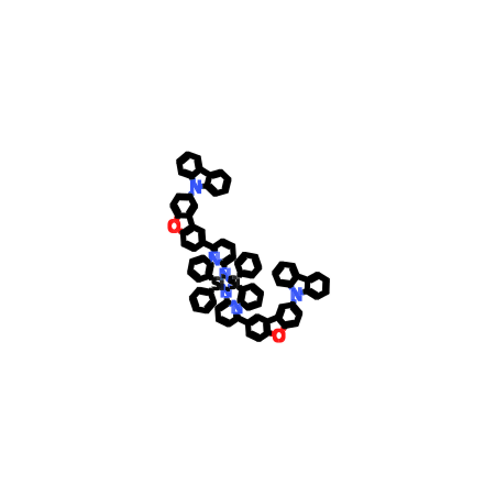 c1ccc([Si]2(c3ccccc3)N(c3cccc(-c4ccc5oc6ccc(-n7c8ccccc8c8ccccc87)cc6c5c4)n3)[Si](c3ccccc3)(c3ccccc3)N2c2cccc(-c3ccc4oc5ccc(-n6c7ccccc7c7ccccc76)cc5c4c3)n2)cc1